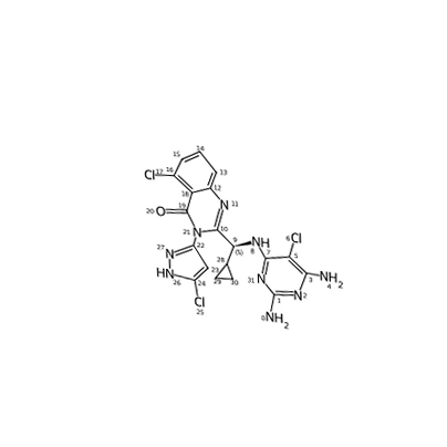 Nc1nc(N)c(Cl)c(N[C@H](c2nc3cccc(Cl)c3c(=O)n2-c2cc(Cl)[nH]n2)C2CC2)n1